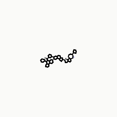 C1=CCc2c(ccc3ccc(-c4ccc5c(ccc6cc(-c7cccc(-c8nc9ccccc9c9c%10ccccc%10c%10ccccc%10c89)c7)ccc65)c4)nc23)/C=C\C=1c1ccccc1